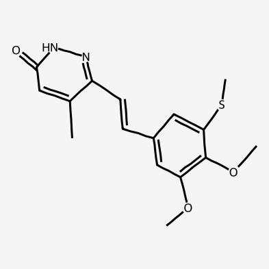 COc1cc(C=Cc2n[nH]c(=O)cc2C)cc(SC)c1OC